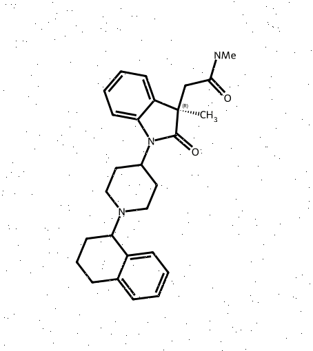 CNC(=O)C[C@@]1(C)C(=O)N(C2CCN(C3CCCc4ccccc43)CC2)c2ccccc21